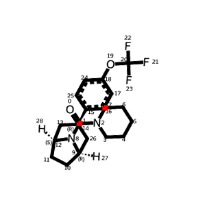 O=C(N1CCCCC1)N1[C@@H]2CC[C@H]1C[C@@H](c1ccc(OC(F)(F)F)cc1)C2